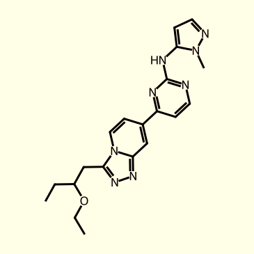 CCOC(CC)Cc1nnc2cc(-c3ccnc(Nc4ccnn4C)n3)ccn12